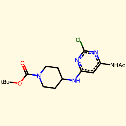 CC(=O)Nc1cc(NC2CCN(C(=O)OC(C)(C)C)CC2)nc(Cl)n1